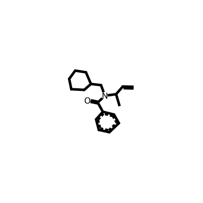 C=CC(C)N(CC1CCCCC1)C(=O)c1ccccc1